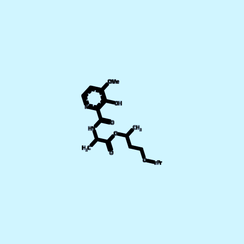 CCCOCCC(C)OC(=O)C(C)NC(=O)c1nccc(OC)c1O